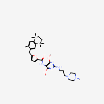 COc1nc(NCCCN2CCN(C)CC2)nc(OC)c1NC(=O)c1ccc(Cc2cc3c(cc2C)[Si](C)(C)CC[Si]3(C)C)o1